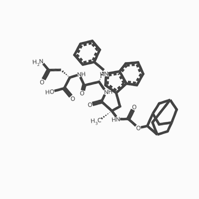 C[C@](Cc1c[nH]c2ccccc12)(NC(=O)OC1C2CC3CC(C2)CC1C3)C(=O)N[C@@H](Cc1ccccc1)C(=O)N[C@@H](CC(N)=O)C(=O)O